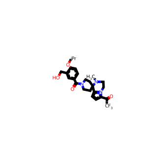 CC(C)Oc1ccc(C(=O)N2CCC3(CC2)c2ccc(C(=O)C(F)(F)F)n2CCN3C)cc1CO